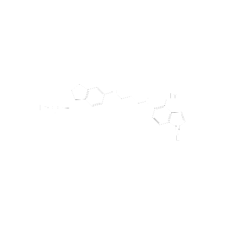 CCCc1c(OCCCOc2ccc3c(c2)CC[C@H]3CC(=O)OCC)ccc2c1ccn2CC